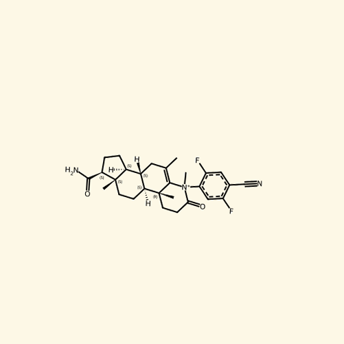 CC1=C2[C@](C)(CCC(=O)[N+]2(C)c2cc(F)c(C#N)cc2F)[C@H]2CC[C@]3(C)[C@@H](C(N)=O)CC[C@H]3[C@@H]2C1